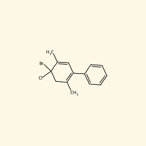 CC1=CC(c2ccccc2)=C(C)CC1(Cl)Br